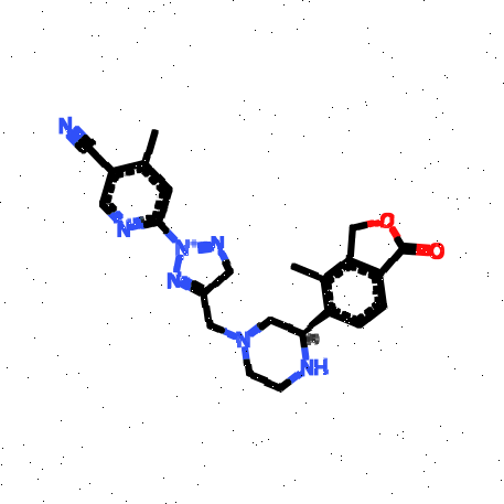 Cc1cc([N+]2=NCC(CN3CCN[C@H](c4ccc5c(c4C)COC5=O)C3)=N2)ncc1C#N